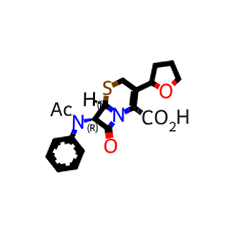 CC(=O)N(c1ccccc1)[C@@H]1C(=O)N2C(C(=O)O)=C(C3CCCO3)CS[C@H]12